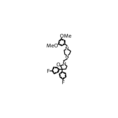 COc1cc(CN2CCN(CCN3CCC(c4ccc(F)cc4)(c4ccc(F)cc4)C3=O)CC2)cc(OC)c1